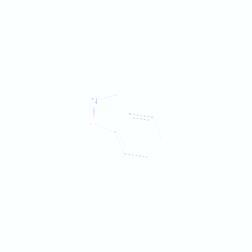 c1ccc2c(c1)C[N]O2